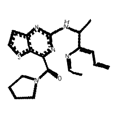 C=C/C=C(\N=C/C)C(C)Nc1nc(C(=O)N2CCCC2)c2sccc2n1